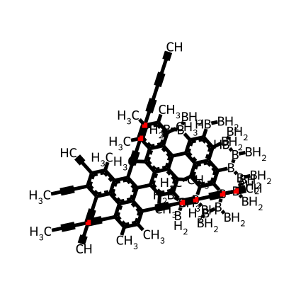 BBB(B)B(B(B)B)c1c(B(B(B)B)B(B)B)c(B(BB)B(B)B)c(C)c2c(-c3c4c(C)c(C)c(C)c(C)c4c(C)c4c(-c5c(C#CC#CC#CC#CC#C)c6c(C)c(C#C)c(C#CC)c(C#CC#C)c6c6c(C#CC#CC)c(C)c(C)c(C#CC#CC#CC#C)c56)c(C)c(C)c(C)c34)c(B(B)B)c(BB)c(B)c12